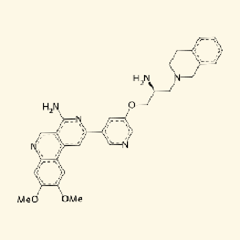 COc1cc2ncc3c(N)nc(-c4cncc(OC[C@@H](N)CN5CCc6ccccc6C5)c4)cc3c2cc1OC